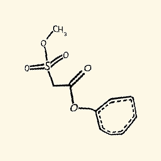 COS(=O)(=O)CC(=O)Oc1ccccc1